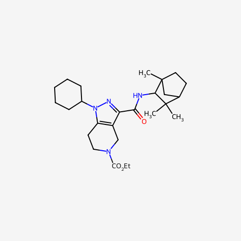 CCOC(=O)N1CCc2c(c(C(=O)NC3C4(C)CCC(C4)C3(C)C)nn2C2CCCCC2)C1